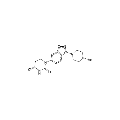 CC(=O)N1CCN(c2noc3cc(N4CCC(=O)NC4=O)ccc23)CC1